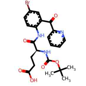 CC(C)(C)OC(=O)N[C@@H](CCC(=O)O)C(=O)Nc1ccc(Br)cc1C(=O)c1ccccn1